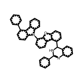 c1ccc(C2=Nc3ccccc3C(c3cccc4oc5c(-n6c7ccccc7c7c(-c8ccccc8)cccc76)cccc5c34)N2)cc1